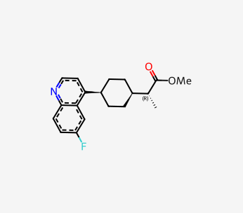 COC(=O)[C@H](C)[C@H]1CC[C@@H](c2ccnc3ccc(F)cc32)CC1